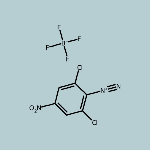 F[B-](F)(F)F.N#[N+]c1c(Cl)cc([N+](=O)[O-])cc1Cl